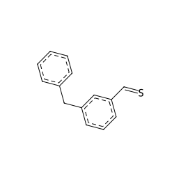 S=Cc1cccc(Cc2ccccc2)c1